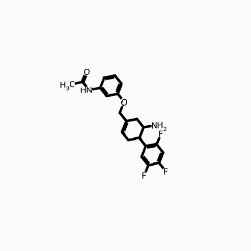 CC(=O)Nc1cccc(OCC2=CCC(c3cc(F)c(F)cc3F)C(N)C2)c1